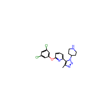 Cc1nnn(C2CCNCC2)c1-c1cccc(Oc2cc(Cl)cc(Cl)c2)n1